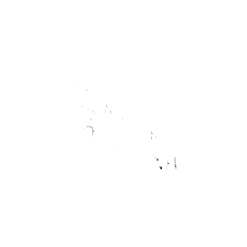 CN1CCN(c2ccc(N)nc2)C(=O)C1